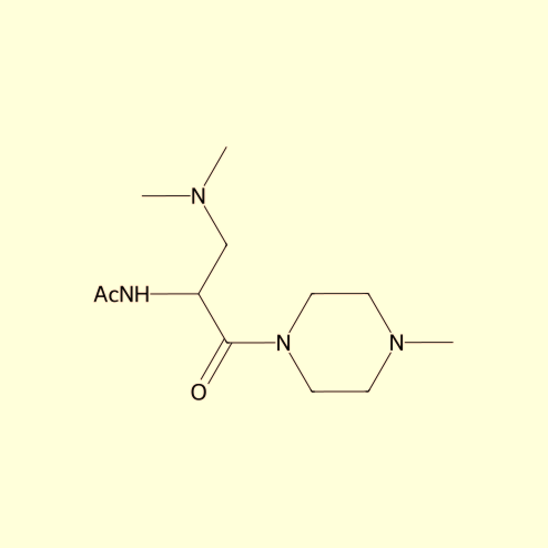 CC(=O)NC(CN(C)C)C(=O)N1CCN(C)CC1